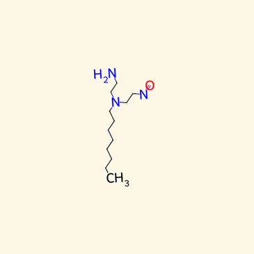 CCCCCCCCN(CCN)CCN=O